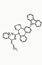 C=C/C=C(\N=C(/N)N1c2ccccc2-c2ccc(-n3c4ccccc4c4ccccc43)cc2C2C=CC=CC21)c1ccccc1